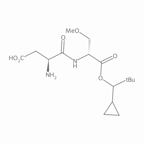 COC[C@@H](NC(=O)[C@@H](N)CC(=O)O)C(=O)OC(C1CC1)C(C)(C)C